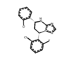 Fc1cccc(Cl)c1[C@@H]1C[C@H](c2ccccc2Cl)Nc2ncnn21